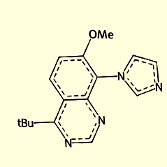 COc1ccc2c(C(C)(C)C)ncnc2c1-n1ccnc1